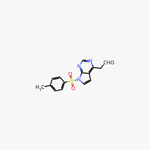 Cc1ccc(S(=O)(=O)n2ccc3c(CC=O)ncnc32)cc1